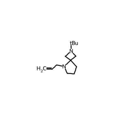 C=CCN1CCCC12CN(C(C)(C)C)C2